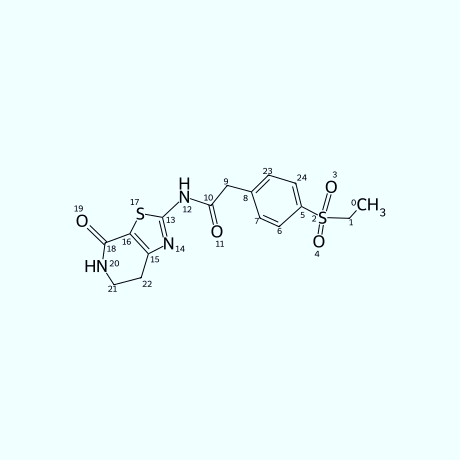 CCS(=O)(=O)c1ccc(CC(=O)Nc2nc3c(s2)C(=O)NCC3)cc1